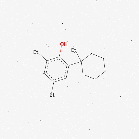 CCc1cc(CC)c(O)c(C2(CC)CCCCC2)c1